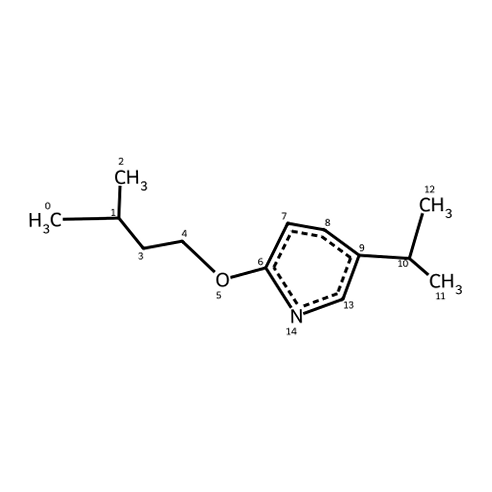 CC(C)CCOc1ccc(C(C)C)cn1